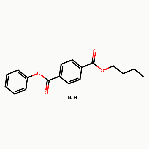 CCCCOC(=O)c1ccc(C(=O)Oc2ccccc2)cc1.[NaH]